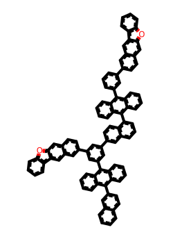 c1cc(-c2ccc3cc4oc5ccccc5c4cc3c2)cc(-c2c3ccccc3c(-c3cccc4cc(-c5cc(-c6ccc7cc8oc9ccccc9c8cc7c6)cc(-c6c7ccccc7c(-c7ccc8ccccc8c7)c7ccccc67)c5)ccc34)c3ccccc23)c1